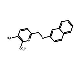 Cc1ccc(COc2ccc3ccccc3c2)nc1C(=O)O